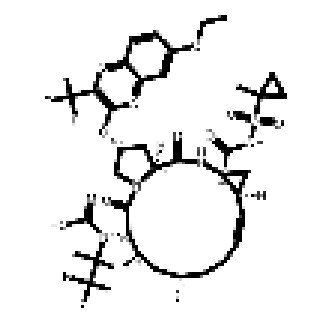 CCOc1ccc2nc(C(F)(F)F)c(O[C@@H]3C[C@H]4C(=O)N[C@]5(C(=O)NS(=O)(=O)C6(C)CC6)C[C@H]5C=CCC[C@H](C)C[C@@H](C)[C@H](N(C(=O)O)C(C)(C)C(F)(F)F)C(=O)N4C3)nc2c1